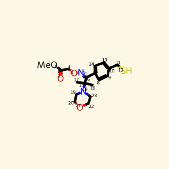 COC(=O)CO/N=C(/c1ccc(CS)cc1)C(C)(C)N1CCOCC1